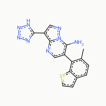 Cc1ccc2ccsc2c1-c1cnc2c(-c3nnn[nH]3)cnn2c1N